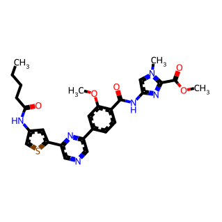 CCCCC(=O)Nc1csc(-c2cncc(-c3ccc(C(=O)Nc4cn(C)c(C(=O)OC)n4)c(OC)c3)n2)c1